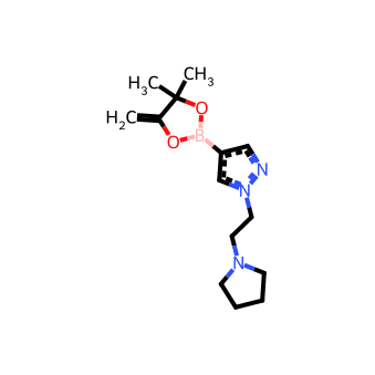 C=C1OB(c2cnn(CCN3CCCC3)c2)OC1(C)C